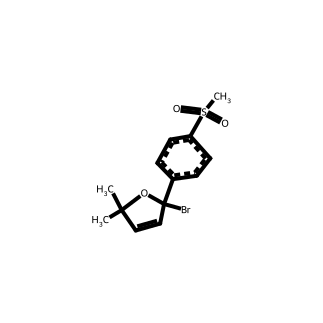 CC1(C)C=CC(Br)(c2ccc(S(C)(=O)=O)cc2)O1